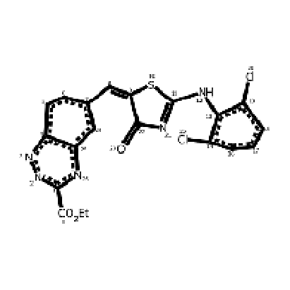 CCOC(=O)c1nnc2ccc(C=C3SC(Nc4c(Cl)cccc4Cl)=NC3=O)cc2n1